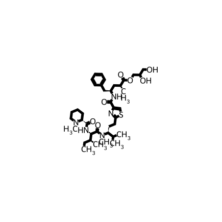 CC[C@H](C)[C@H](NC(=O)[C@H]1CCCCN1C)C(=O)N(C)[C@H](CCc1nc(C(=O)N[C@@H](Cc2ccccc2)C[C@H](C)C(=O)OCC(O)CO)cs1)C(C)C